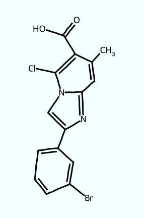 Cc1cc2nc(-c3cccc(Br)c3)cn2c(Cl)c1C(=O)O